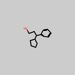 OCCC(c1ccccc1)C1CCCC1